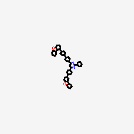 c1ccc(-c2nc(-c3ccc(-c4ccc(-c5cccc6oc7ccccc7c56)cc4)cc3)cc(-c3ccc(-c4ccc5oc6ccccc6c5c4)cc3)n2)cc1